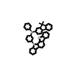 CC1(C)c2ccccc2-c2ccc(N(c3ccccc3)c3cccc(-n4c5ccccc5c5ccc6c7ccccc7oc6c54)c3)cc21